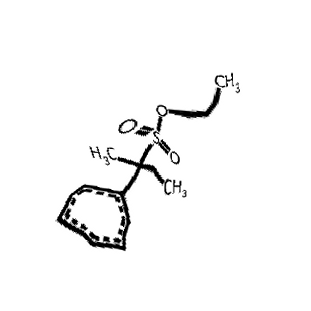 CCOS(=O)(=O)C(C)(C)c1ccccc1